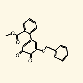 COC(=O)c1ccccc1C1=CC(=O)C(=O)C(OCc2ccccc2)=C1